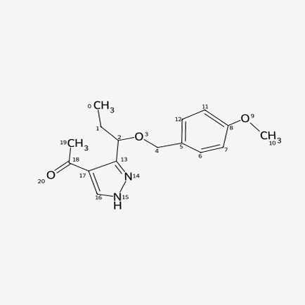 CCC(OCc1ccc(OC)cc1)c1n[nH]cc1C(C)=O